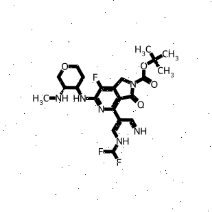 CN[C@H]1COCCC1Nc1nc(/C(C=N)=C/NC(F)F)c2c(c1F)CN(C(=O)OC(C)(C)C)C2=O